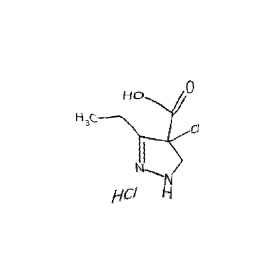 CCC1=NNCC1(Cl)C(=O)O.Cl